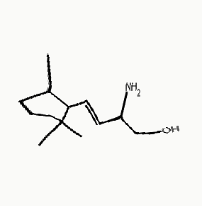 CC1CCC(C)(C)C1/C=C/C(N)CO